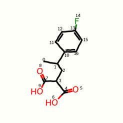 CC(CC(C(=O)O)C(=O)O)c1ccc(F)cc1